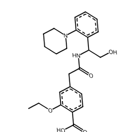 CCOc1cc(CC(=O)NC(CO)c2ccccc2N2CCCCC2)ccc1C(=O)O